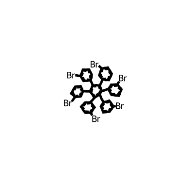 Brc1cccc(-c2c(-c3cccc(Br)c3)c(-c3cccc(Br)c3)c(-c3cccc(Br)c3)c(-c3cccc(Br)c3)c2-c2cccc(Br)c2)c1